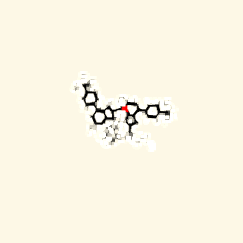 CCC1=Cc2c(-c3ccc(C(F)(F)F)cc3)cccc2[CH]1[Zr+2]([CH]1C(CC)=Cc2c(-c3ccc(C(F)(F)F)cc3)cccc21)[GeH]([CH3])[CH3].[Cl-].[Cl-]